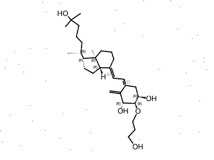 C=C1/C(=C\C=C2/CCC[C@]3(C)[C@@H]([C@H](C)CCCC(C)(C)O)CC[C@@H]23)C[C@@H](O)[C@@H](OCCCO)[C@@H]1O